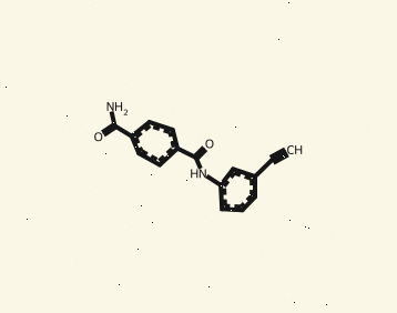 C#Cc1cccc(NC(=O)c2ccc(C(N)=O)cc2)c1